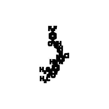 C=CC(=O)N(C)c1cc(Nc2ncc(Cl)c(NCCCNC(=O)c3ccc(C(F)F)cc3)n2)ccc1F